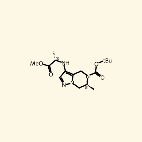 COC(=O)[C@H](C)Nc1cnn2c1CN(C(=O)OC(C)(C)C)[C@@H](C)C2